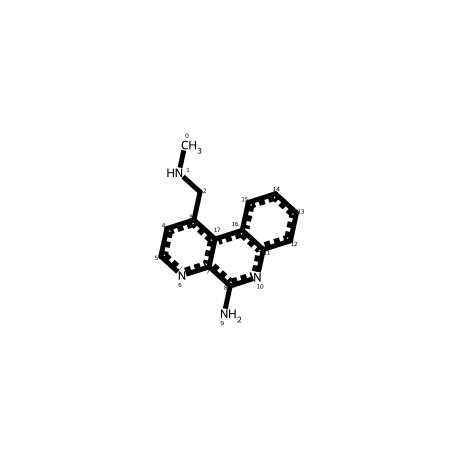 CNCc1ccnc2c(N)nc3ccccc3c12